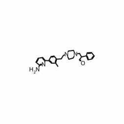 Cc1cc(-c2cccc(N)n2)ccc1CCN1CCN(CC(C=O)c2ccccc2)CC1